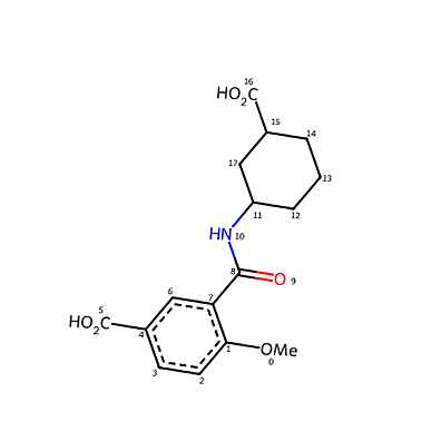 COc1ccc(C(=O)O)cc1C(=O)NC1CCCC(C(=O)O)C1